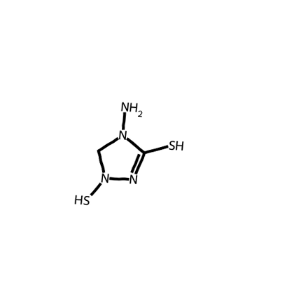 NN1CN(S)N=C1S